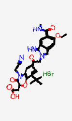 Br.CCOc1cc2c(cc1C(=O)NC)C(=N)N(CC(=O)c1cc3c(c(C(C)(C)C)c1)OC(CC(=O)O)C(=O)N3CC#N)C2